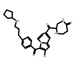 CCc1cc2cc(C(=O)C3CNC(=O)CCN3)ccn2c1C(=O)c1ccc(CCCNC2CCCC2)cc1